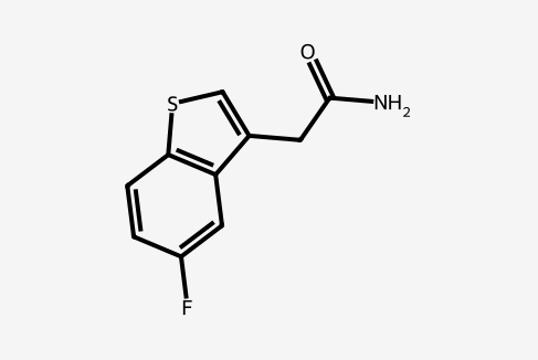 NC(=O)Cc1csc2ccc(F)cc12